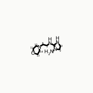 NN1CCNC1NCCN1CCOCC1